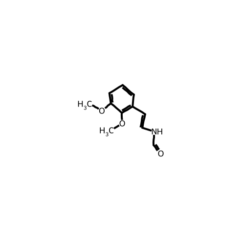 COc1cccc(/C=C/NC=O)c1OC